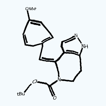 COc1ccc(C=C2c3cn[nH]c3CCN2C(=O)OC(C)(C)C)cc1